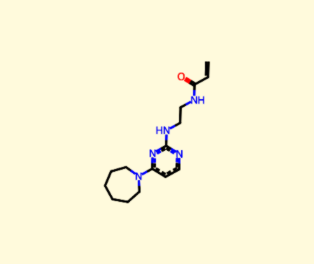 C=CC(=O)NCCNc1nccc(N2CCCCCC2)n1